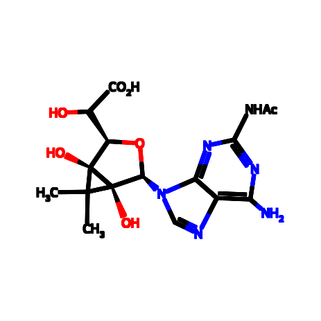 CC(=O)Nc1nc(N)c2ncn([C@@H]3O[C@H](C(O)C(=O)O)[C@@]4(O)C(C)(C)[C@@]34O)c2n1